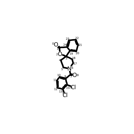 O=C1OC2(CCN(C(=O)c3cccc(Cl)c3Cl)CC2)c2ccccc21